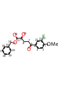 COc1ccc(C(=O)CCC(=O)C(=O)OCc2ccccc2)cc1F